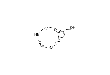 OCCc1ccc2c(c1)OCCOCCNCCOCCOCCO2